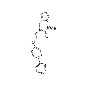 CNC(=O)N(CCOc1ccc(-c2ccccc2)cc1)Cc1cccs1